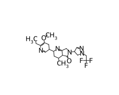 CCC1=C(OC)CC(C2CC(C)C3C(=O)N(C4C=NN(CC(F)(F)F)C4)CC3=N2)C=N1